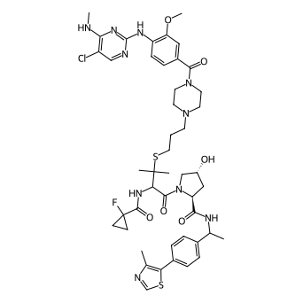 CNc1nc(Nc2ccc(C(=O)N3CCN(CCCSC(C)(C)C(NC(=O)C4(F)CC4)C(=O)N4C[C@H](O)C[C@H]4C(=O)NC(C)c4ccc(-c5scnc5C)cc4)CC3)cc2OC)ncc1Cl